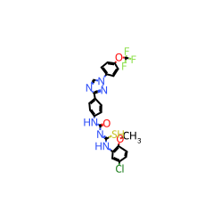 COc1ccc(Cl)cc1N/C(S)=N/C(=O)Nc1ccc(-c2ncn(-c3ccc(OC(F)(F)F)cc3)n2)cc1